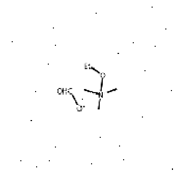 CCO[N+](C)(C)C.O=C[O-]